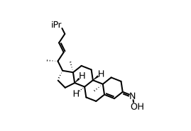 CC(C)CC=C[C@@H](C)[C@H]1CC[C@H]2[C@@H]3CCC4=CC(=NO)CC[C@]4(C)[C@H]3CC[C@]12C